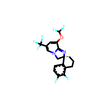 Fc1ccc2c(c1F)CCC[C@@]21CN2C=C(C(F)(F)F)C=C(OC(F)F)C2=N1